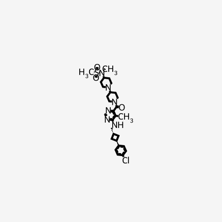 Cc1c(NC[C@H]2C[C@H](c3ccc(Cl)cc3)C2)ncnc1C(=O)N1CCC(N2CCC(N(C)S(C)(=O)=O)CC2)CC1